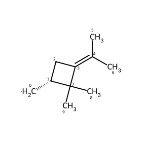 [CH2][C@@H]1CC(=C(C)C)C1(C)C